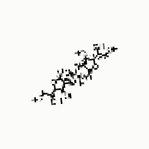 O=C1OC([C@@H](O)CO)C(O)=C1OP(=O)(O)OC1=C(O)C([C@@H](O)CO)OC1=O